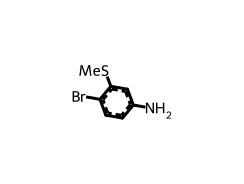 CSc1cc(N)ccc1Br